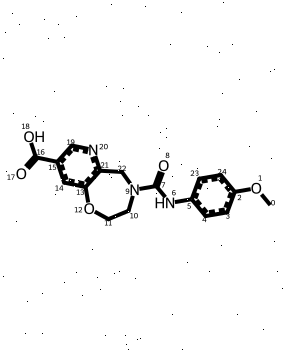 COc1ccc(NC(=O)N2CCOc3cc(C(=O)O)cnc3C2)cc1